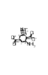 Nc1cc(C(=O)[O-])ccc1C(=O)[O-].[Na+].[Na+]